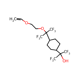 C=COCCOC(C1CCC(C(O)(C(F)(F)F)C(F)(F)F)CC1)(C(F)(F)F)C(F)(F)F